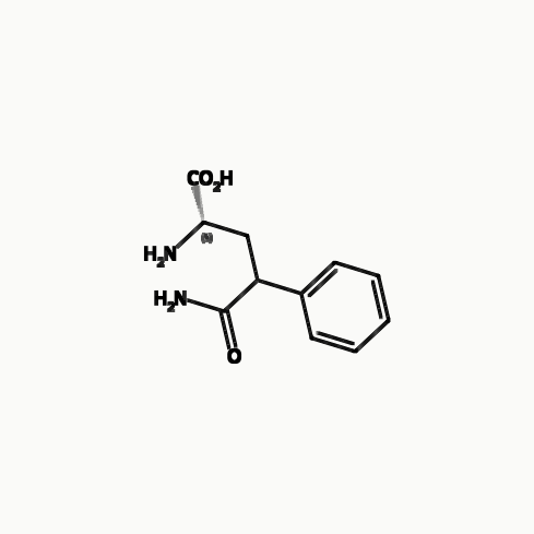 NC(=O)C(C[C@H](N)C(=O)O)c1ccccc1